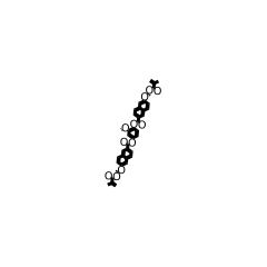 C=C(C)C(=O)OCOc1ccc2cc(C(=O)Oc3ccc(OC(=O)c4ccc5cc(OCOC(=O)C(=C)C)ccc5c4)c(OC)c3)ccc2c1